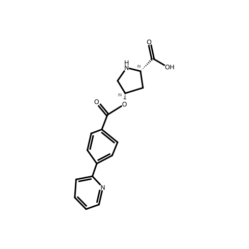 O=C(O[C@@H]1CN[C@H](C(=O)O)C1)c1ccc(-c2ccccn2)cc1